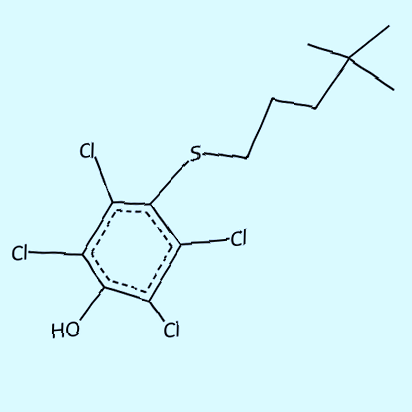 CC(C)(C)CCCSc1c(Cl)c(Cl)c(O)c(Cl)c1Cl